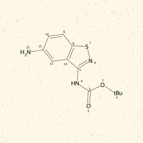 CC(C)(C)OC(=O)Nc1nsc2ccc(N)cc12